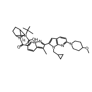 COC1CCN(c2ccc3cc(-c4nn5cc(C(=O)N6CC7CCC6[C@@H]7N(C(=O)O)C(C)(C)C)ccc5c4C)n(CC4CC4)c3n2)CC1